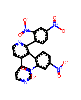 O=[N+]([O-])c1ccc(-c2nccc(-c3ccncc3)c2-c2ccc([N+](=O)[O-])cc2[N+](=O)[O-])c([N+](=O)[O-])c1